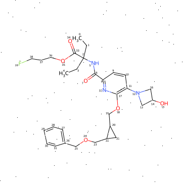 CCC(CC)(NC(=O)c1ccc(N2CC(O)C2)c(OCC2CC2COCc2ccccc2)n1)C(=O)OCCCF